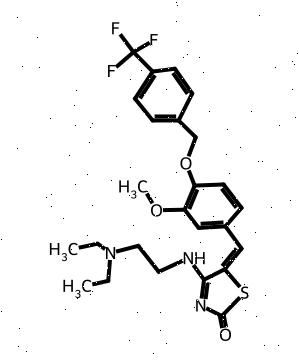 CCN(CC)CCNC1=NC(=O)SC1=Cc1ccc(OCc2ccc(C(F)(F)F)cc2)c(OC)c1